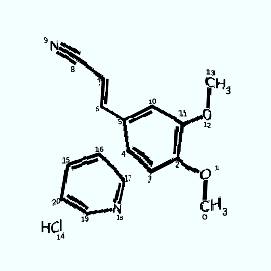 COc1ccc(C=CC#N)cc1OC.Cl.c1ccncc1